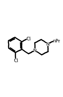 CCCN1CCN(Cc2c(Cl)cccc2Cl)CC1